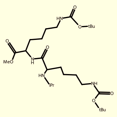 COC(=O)C(CCCCNC(=O)OC(C)(C)C)NC(=O)C(CCCCNC(=O)OC(C)(C)C)NC(C)C